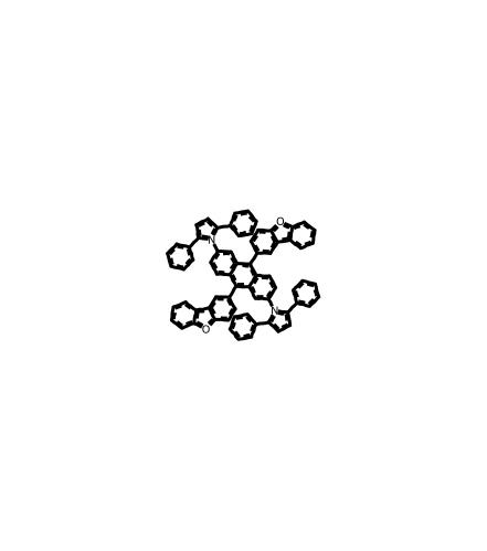 c1ccc(-c2ccc(-c3ccccc3)n2-c2ccc3c(-c4ccc5oc6ccccc6c5c4)c4cc(-n5c(-c6ccccc6)ccc5-c5ccccc5)ccc4c(-c4ccc5oc6ccccc6c5c4)c3c2)cc1